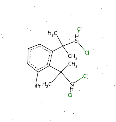 CC(C)c1cccc(C(C)(C)[SiH](Cl)Cl)c1C(C)(C)[SiH](Cl)Cl